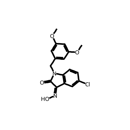 COc1cc(CN2C(=O)/C(=N\O)c3cc(Cl)ccc32)cc(OC)c1